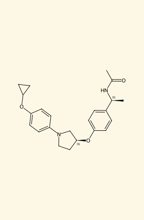 CC(=O)N[C@@H](C)c1ccc(O[C@H]2CCN(c3ccc(OC4CC4)cc3)C2)cc1